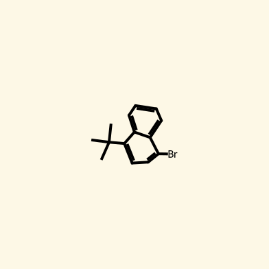 CC(C)(C)c1ccc(Br)c2ccccc12